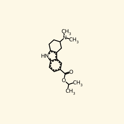 CC(C)OC(=O)c1ccc2[nH]c3c(c2c1)CC(N(C)C)CC3